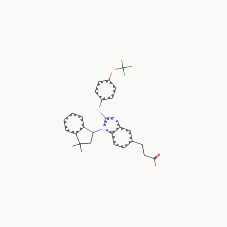 CC1(C)CC(n2c(Nc3ccc(OC(F)(F)F)cc3)nc3cc(CCC(=O)O)ccc32)c2ccccc21